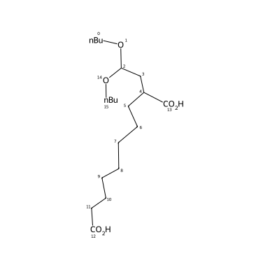 CCCCOC(CC(CCCCCCCC(=O)O)C(=O)O)OCCCC